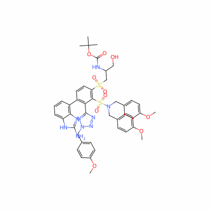 COc1ccc(CN(Cc2ccc(OC)cc2)S(=O)(=O)c2c(S(=O)(=O)CC(CO)NC(=O)OC(C)(C)C)ccc(-c3cccc4[nH]c(N)nc34)c2-c2nnn(Cc3ccc(OC)cc3)n2)cc1